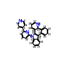 c1cc(-c2ccncc2)nc(-n2c3ccccc3c3c4ccccc4c4ncccc4c32)c1